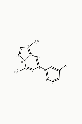 Cc1cccc(-c2cc(C(F)(F)F)n3ncc(C#N)c3n2)c1